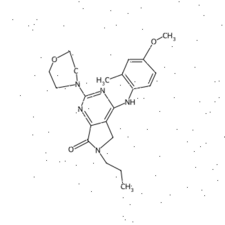 CCCN1Cc2c(Nc3ccc(OC)cc3C)nc(N3CCOCC3)nc2C1=O